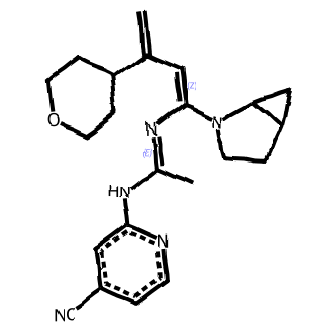 C=C(/C=C(\N=C(/C)Nc1cc(C#N)ccn1)N1CCC2CC21)C1CCOCC1